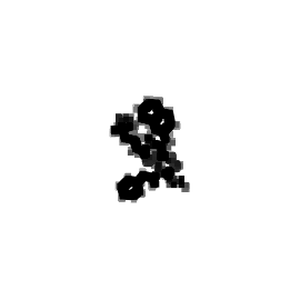 CC(Cc1ccccc1)N(NC(=O)[C@@H](Cc1ccc2ccccc2c1)N(C)C(=O)/C=C/CC(C)(C)N)C(N)=O